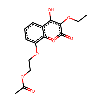 CCOc1c(O)c2cccc(OCCOC(C)=O)c2oc1=O